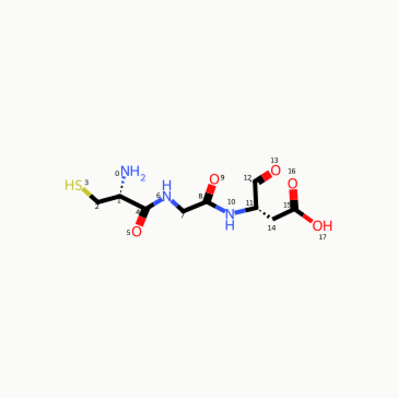 N[C@@H](CS)C(=O)NCC(=O)N[C@H]([C]=O)CC(=O)O